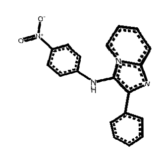 O=[N+]([O-])c1ccc(Nc2c(-c3ccccc3)nc3ccccn23)cc1